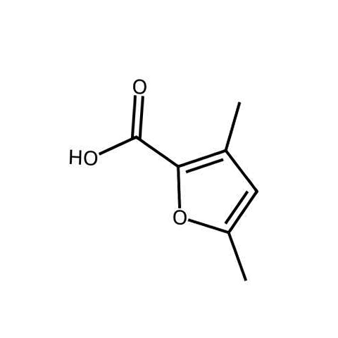 Cc1cc(C)c(C(=O)O)o1